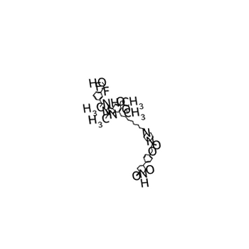 COc1cc2c(NC(C)c3cccc(C(F)(F)CO)c3)nc(C)nc2c(CCCCCCCCN2CCN(C(=O)COc3ccc(C4CCC(=O)NC4=O)cc3)CC2)c1OC